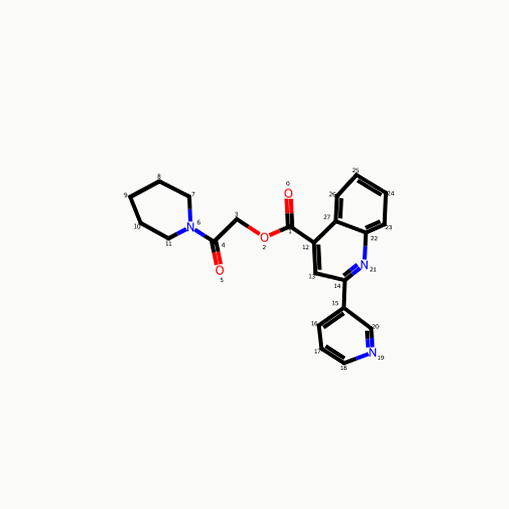 O=C(OCC(=O)N1CCCCC1)c1cc(-c2cccnc2)nc2ccccc12